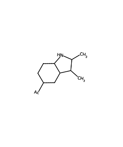 CC(=O)C1CCC2NC(C)C(C)C2C1